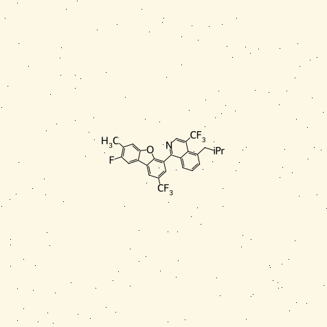 Cc1cc2oc3c(-c4ncc(C(F)(F)F)c5c(CC(C)C)cccc45)cc(C(F)(F)F)cc3c2cc1F